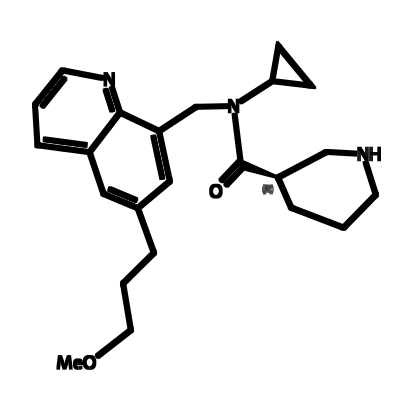 COCCCc1cc(CN(C(=O)[C@@H]2CCCNC2)C2CC2)c2ncccc2c1